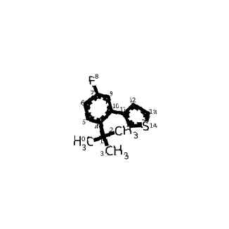 CC(C)(C)c1ccc(F)cc1-c1ccsc1